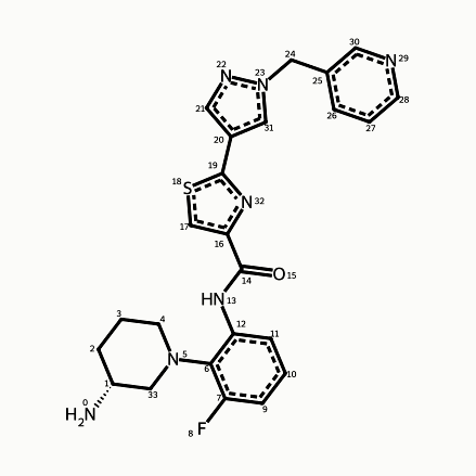 N[C@@H]1CCCN(c2c(F)cccc2NC(=O)c2csc(-c3cnn(Cc4cccnc4)c3)n2)C1